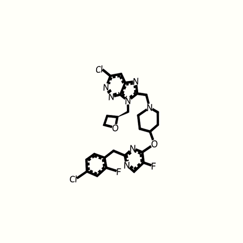 Fc1cc(Cl)ccc1Cc1ncc(F)c(OC2CCN(Cc3nc4cc(Cl)nnc4n3C[C@@H]3CCO3)CC2)n1